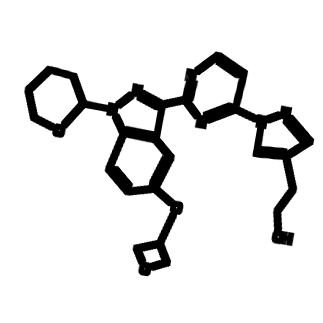 OCCc1cnn(-c2ccnc(-c3nn(C4CCCCO4)c4ccc(OC5COC5)cc34)n2)c1